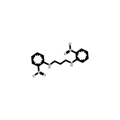 O=[N+]([O-])c1ccccc1NCCCNc1ccccc1[N+](=O)[O-]